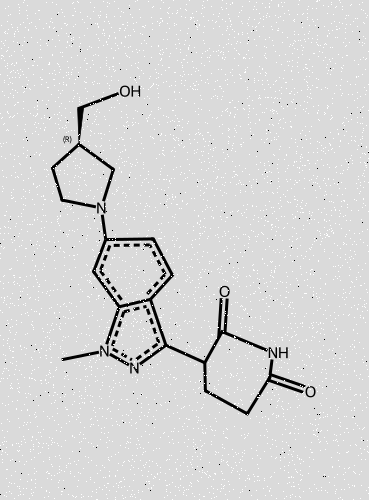 Cn1nc(C2CCC(=O)NC2=O)c2ccc(N3CC[C@@H](CO)C3)cc21